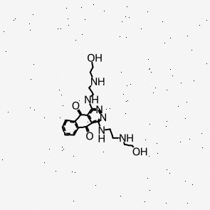 O=C1c2ccccc2C(=O)c2c(NCCNCCO)nnc(NCCNCCO)c21